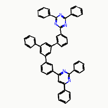 c1ccc(-c2cc(-c3cccc(-c4cc(-c5ccccc5)nc(-c5ccccc5)n4)c3)cc(-c3cccc(-c4nc(-c5ccccc5)nc(-c5ccccc5)n4)c3)c2)cc1